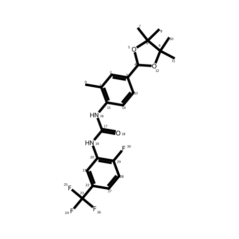 Cc1cc(C2OC(C)(C)C(C)(C)O2)ccc1NC(=O)Nc1cc(C(F)(F)F)ccc1F